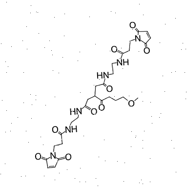 COCCCC(=O)C(CC(=O)NCCNC(=O)CCN1C(=O)C=CC1=O)CC(=O)NCCNC(=O)CCN1C(=O)C=CC1=O